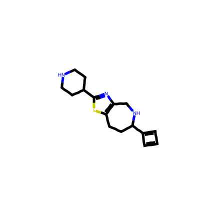 C1=CC(C2CCc3sc(C4CCNCC4)nc3CN2)=C1